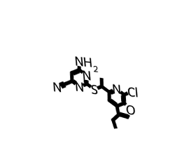 CCc1coc2c(Cl)nc(C(C)Sc3nc(N)cc(C#N)n3)cc12